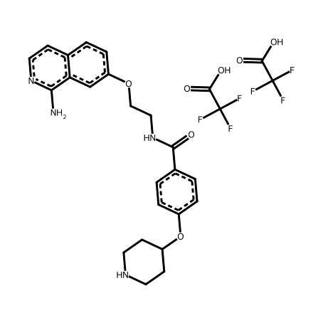 Nc1nccc2ccc(OCCNC(=O)c3ccc(OC4CCNCC4)cc3)cc12.O=C(O)C(F)(F)F.O=C(O)C(F)(F)F